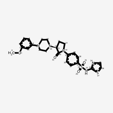 COc1cccc(N2CCN([C@H]3CCN(c4ccc(S(=O)(=O)Nc5nccs5)cc4)C3=O)CC2)c1